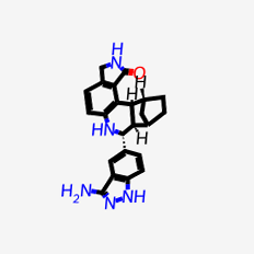 Nc1n[nH]c2ccc([C@@H]3Nc4ccc5c(c4[C@H]4[C@@H]6CCC(C6)[C@H]43)C(=O)NC5)cc12